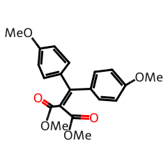 COC(=O)C(C(=O)OC)=C(c1ccc(OC)cc1)c1ccc(OC)cc1